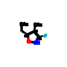 CC(=O)OC[C@H]1ON[C@@H](F)[C@H]1OC(C)=O